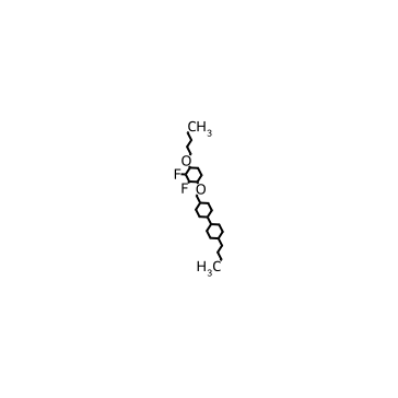 CCCCCOC1CCC(OCC2CCC(C3CCC(CCCC)CC3)CC2)C(F)C1F